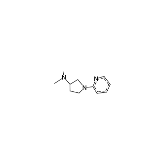 CN(C)C1CCN(c2ccccn2)C1